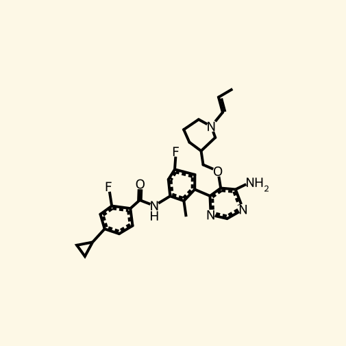 CC=CN1CCCC(COc2c(N)ncnc2-c2cc(F)cc(NC(=O)c3ccc(C4CC4)cc3F)c2C)C1